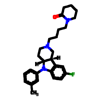 Cc1cccc(N2c3ccc(F)cc3[C@@H]3CN(CCCCN4CCCCC4=O)CC[C@H]32)c1